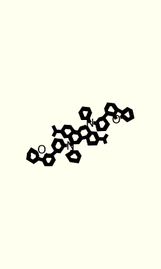 CC(C)c1ccc2c(c1)c(N(c1ccccc1)c1cccc(-c3cccc4c3oc3ccccc34)c1)cc1c3ccc(C(C)C)cc3c(N(c3ccccc3)c3cccc(-c4cccc5c4oc4ccccc45)c3)cc21